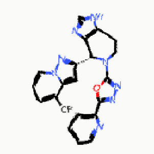 FC(F)(F)c1cccn2nc([C@@H]3c4nc[nH]c4CCN3c3nnc(-c4ccccn4)o3)cc12